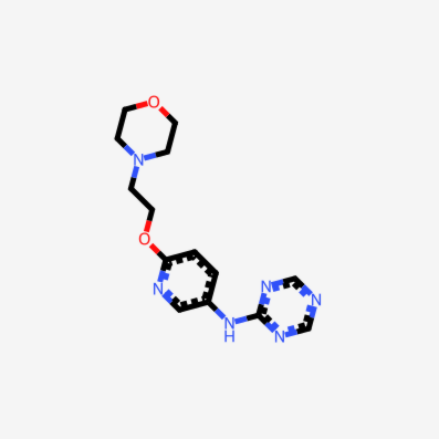 c1ncnc(Nc2ccc(OCCN3CCOCC3)nc2)n1